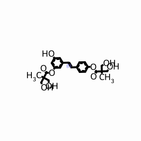 CC(CO)(CO)C(=O)Oc1ccc(/C=C/c2cc(O)cc(OC(=O)C(C)(CO)CO)c2)cc1